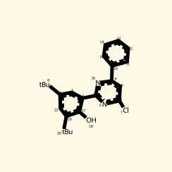 CC(C)(C)c1cc(-c2nc(Cl)cc(-c3ccccc3)n2)c(O)c(C(C)(C)C)c1